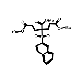 COC(=O)C(CCC(=O)OC(C)(C)C)(CCC(=O)OC(C)(C)C)S(=O)(=O)c1ccc2ccccc2c1